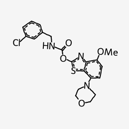 COc1ccc(N2CCOCC2)c2sc(OC(=O)NCc3cccc(Cl)c3)nc12